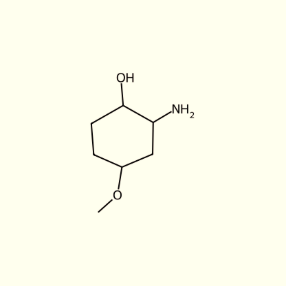 COC1CCC(O)C(N)C1